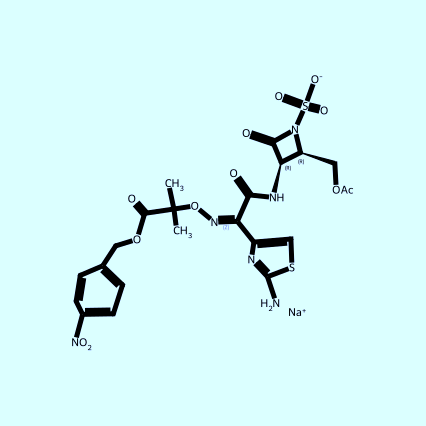 CC(=O)OC[C@H]1[C@@H](NC(=O)/C(=N\OC(C)(C)C(=O)OCc2ccc([N+](=O)[O-])cc2)c2csc(N)n2)C(=O)N1S(=O)(=O)[O-].[Na+]